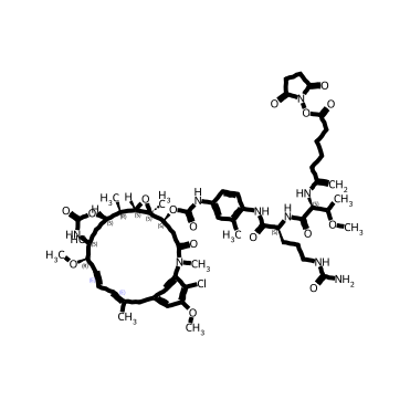 C=C(CCCCC(=O)ON1C(=O)CCC1=O)N[C@H](C(=O)N[C@@H](CCCNC(N)=O)C(=O)Nc1ccc(NC(=O)O[C@H]2CC(=O)N(C)c3cc(cc(OC)c3Cl)C/C(C)=C/C=C/[C@@H](OC)[C@@]3(O)C[C@H](OC(=O)N3)[C@@H](C)[C@@H]3O[C@@]23C)cc1C)C(C)OC